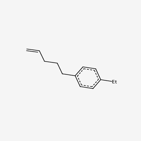 C=CCCCc1ccc(CC)cc1